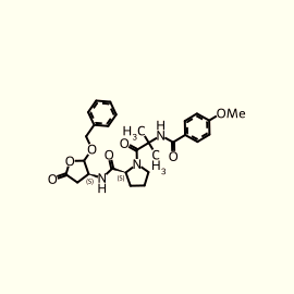 COc1ccc(C(=O)NC(C)(C)C(=O)N2CCC[C@H]2C(=O)N[C@H]2CC(=O)OC2OCc2ccccc2)cc1